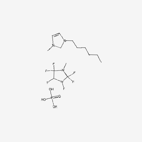 CCCCCCN1C=CN(C)C1.CN1C(F)(F)C(F)N(F)C1(F)F.O=P(O)(O)O